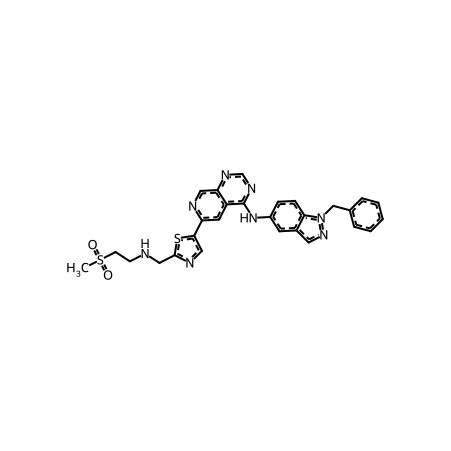 CS(=O)(=O)CCNCc1ncc(-c2cc3c(Nc4ccc5c(cnn5Cc5ccccc5)c4)ncnc3cn2)s1